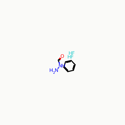 F.F.NNC=O.c1ccccc1